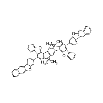 C[Si]1(C)c2cc3c(cc2-c2c1cc(-c1ccc4c(c1)oc1cc5ccccc5cc14)c1c2oc2ccccc21)[Si](C)(C)c1cc(-c2ccc4c(c2)oc2cc5ccccc5cc24)c2c(oc4ccccc42)c1-3